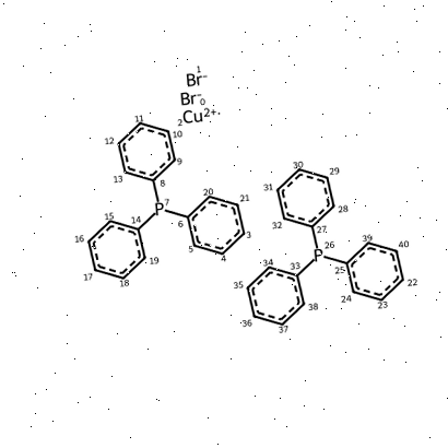 [Br-].[Br-].[Cu+2].c1ccc(P(c2ccccc2)c2ccccc2)cc1.c1ccc(P(c2ccccc2)c2ccccc2)cc1